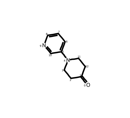 O=C1CCN(c2cccnc2)CC1